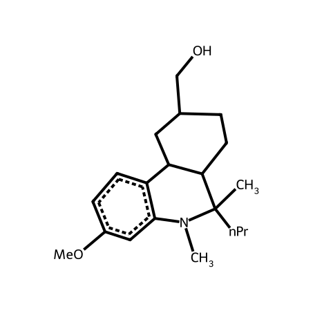 CCCC1(C)C2CCC(CO)CC2c2ccc(OC)cc2N1C